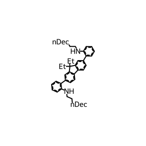 CCCCCCCCCCCCNc1ccccc1-c1ccc2c(c1)C(CC)(CC)c1cc(-c3ccccc3NCCCCCCCCCCCC)ccc1-2